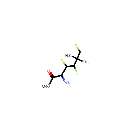 COC(=O)C(N)C(F)C(F)C(C)(C)CF